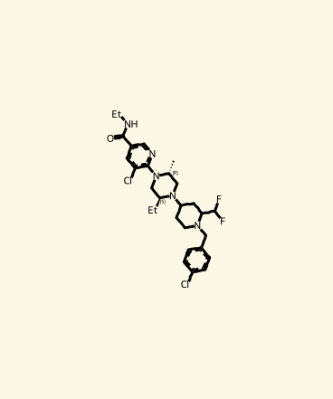 CCNC(=O)c1cnc(N2C[C@H](CC)N(C3CCN(Cc4ccc(Cl)cc4)C(C(F)F)C3)C[C@H]2C)c(Cl)c1